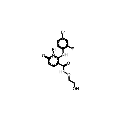 CCn1c(Nc2ccc(Br)cc2F)c(C(=O)NOCCO)ccc1=O